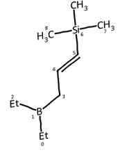 CCB(CC)C/C=C/[Si](C)(C)C